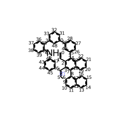 C=Cc1c(/C=C\C)c(-c2cccc3ccccc23)c2ccccc2c1-c1cccc(-c2cccc(-c3ccccc3Nc3ccccc3)c2)c1